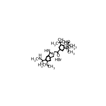 Br.CNC(=O)c1cc2c(cc1N(C)C)CN(CC(=O)c1cc(N(C)C)c(OS(C)(=O)=O)c(C(C)(C)C)c1)C2=N